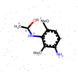 COc1ccc(N)c(OC)c1NC(C)O